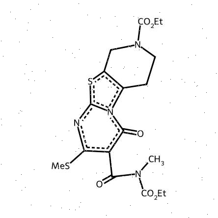 CCOC(=O)N1CCc2c(sc3nc(SC)c(C(=O)N(C)C(=O)OCC)c(=O)n23)C1